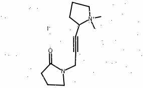 C[N+]1(C)CCCC1C#CCN1CCCC1=O.[I-]